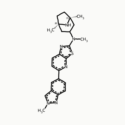 CN(c1nc2ccc(-c3ccc4nn(C)cc4c3)nc2s1)C1C[C@]2(C)CC[C@](C)(C1)N2